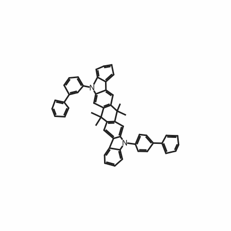 CC1(C)c2cc3c4ccccc4n(-c4ccc(-c5ccccc5)cc4)c3cc2C(C)(C)c2cc3c4ccccc4n(-c4cccc(-c5ccccc5)c4)c3cc21